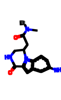 CCN(C)C(=O)CC1CNC(=O)c2cc3cc(N)ccc3n21